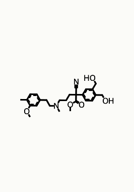 COC(=O)C(C#N)(CCCN(C)CCc1ccc(C)c(OC)c1)c1ccc(CO)c(CO)c1